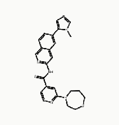 Cn1cncc1-c1ccc2cnc(NC(=O)c3ccnc(N4CCCOCC4)c3)cc2c1